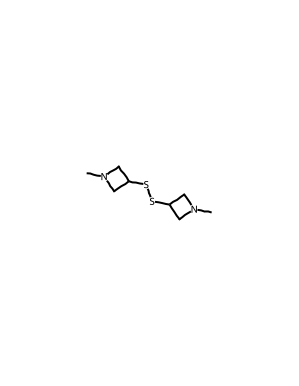 CN1CC(SSC2CN(C)C2)C1